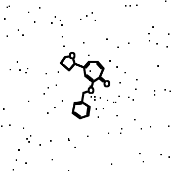 O=c1cccc(C2CCCO2)cc1OCc1ccccc1